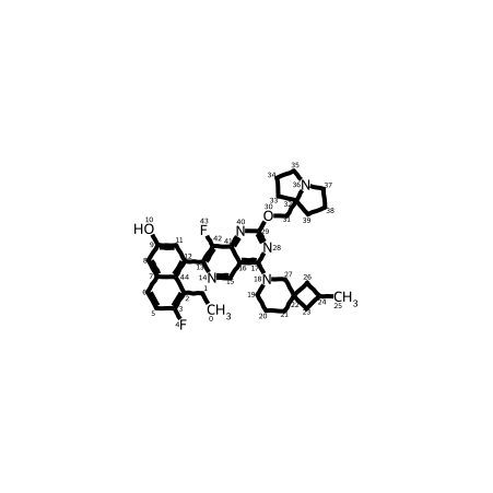 CCc1c(F)ccc2cc(O)cc(-c3ncc4c(N5CCCC6(CC(C)C6)C5)nc(OCC56CCCN5CCC6)nc4c3F)c12